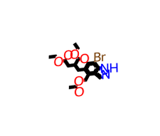 CCOC(=O)CC(Cc1cc(Br)c2[nH]ncc2c1COC(C)=O)C(=O)OCC